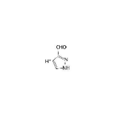 O=Cc1cc[nH]n1.[H+]